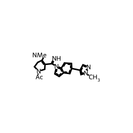 CNC1=C(C(=N)n2ccc3cc(-c4cnn(C)c4)ccc32)CN(C(C)=O)CC1